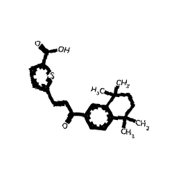 CC1(C)CCC(C)(C)c2cc(C(=O)/C=C/c3ccc(C(=O)O)s3)ccc21